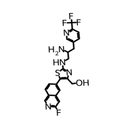 NC(CNc1nc(CO)c(-c2ccc3cnc(F)cc3c2)s1)Cc1ccc(C(F)(F)F)nc1